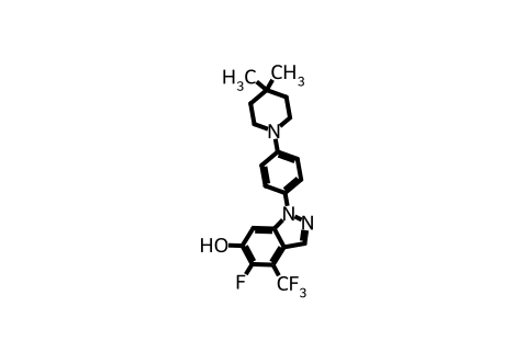 CC1(C)CCN(c2ccc(-n3ncc4c(C(F)(F)F)c(F)c(O)cc43)cc2)CC1